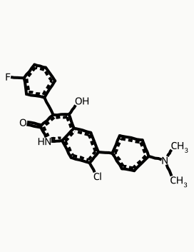 CN(C)c1ccc(-c2cc3c(O)c(-c4cccc(F)c4)c(=O)[nH]c3cc2Cl)cc1